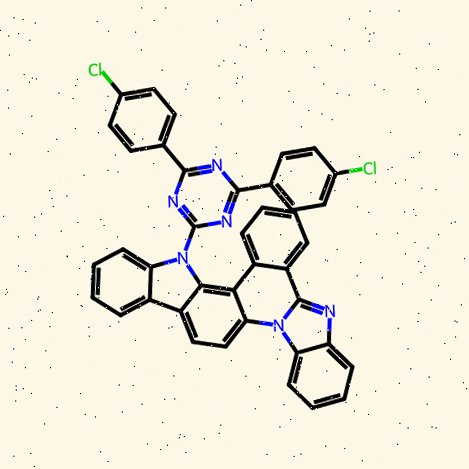 Clc1ccc(-c2nc(-c3ccc(Cl)cc3)nc(-n3c4ccccc4c4ccc5c(c6ccccc6c6nc7ccccc7n56)c43)n2)cc1